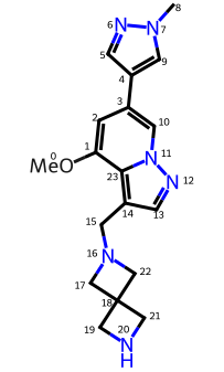 COc1cc(-c2cnn(C)c2)cn2ncc(CN3CC4(CNC4)C3)c12